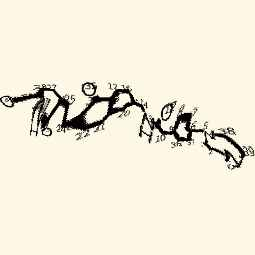 CN1CCN(Cc2ccc(CC(=O)NCc3ccc4c(c3)CCC(CCC3CCC(=O)NC3=O)C4=O)cc2)CC1